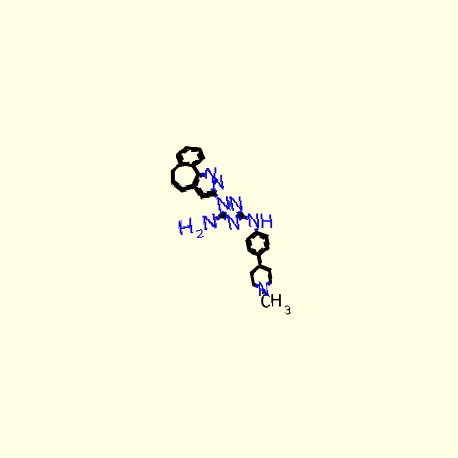 CN1CCC(c2ccc(Nc3nc(N)n(-c4cc5c(nn4)-c4ccccc4CCC5)n3)cc2)CC1